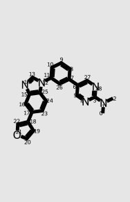 CN(C)c1ncc(-c2cccc(-n3cnc4cc(-c5ccoc5)ccc43)c2)cn1